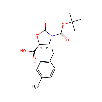 Bc1ccc(C[C@@H]2[C@@H](C(=O)O)OC(=O)N2C(=O)OC(C)(C)C)cc1